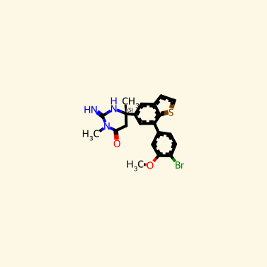 COc1cc(-c2cc([C@]3(C)CC(=O)N(C)C(=N)N3)cc3ccsc23)ccc1Br